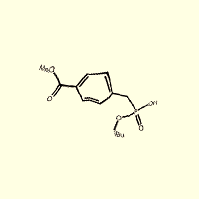 CCC(C)OP(=O)(O)Cc1ccc(C(=O)OC)cc1